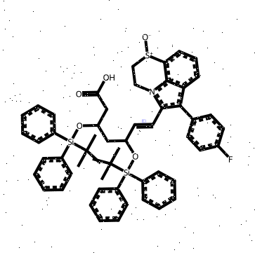 CC(C)(C)[Si](OC(/C=C/c1c(-c2ccc(F)cc2)c2cccc3c2n1CC[S+]3[O-])CC(CC(=O)O)O[Si](c1ccccc1)(c1ccccc1)C(C)(C)C)(c1ccccc1)c1ccccc1